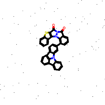 O=c1c2cccc(-c3ccc4c5cccc6c7ccccc7n(c4c3)c65)c2n2c3c(sc4ccccc43)c(=O)n12